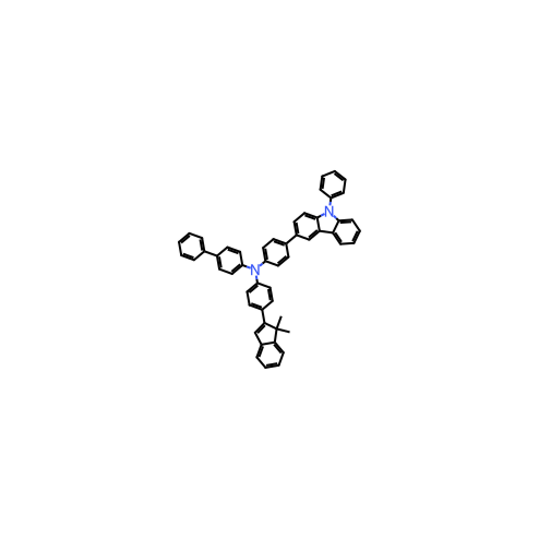 CC1(C)C(c2ccc(N(c3ccc(-c4ccccc4)cc3)c3ccc(-c4ccc5c(c4)c4ccccc4n5-c4ccccc4)cc3)cc2)=Cc2ccccc21